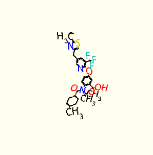 Cc1nc(Cc2cnc(Oc3ccc(N(C(=O)[C@H]4CC[C@H](C)CC4)C(C)C)c(C(=O)O)c3)c(C(F)(F)F)c2)cs1